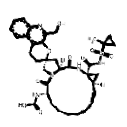 CC1(S(=O)(=O)NC(=O)[C@@]23C[C@H]2/C=C\CCCCC[C@H](NC(=O)O)C(=O)N2C[C@@]4(CCc5c(c(CO)nc6ccccc56)O4)C[C@H]2C(=O)N3)CC1